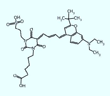 CCN(CC)c1ccc2c(c1)OC(C(C)(C)C)=C\C2=C/C=C/C=C1\C(=O)N(CCCCCC(=O)O)C(=O)N(CCCS(=O)(=O)O)C1=O